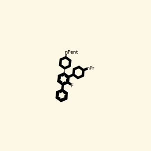 CCCCC[C@H]1CC[C@H](c2ccc(-c3ccccc3)c(F)c2C2CCC(CCC)CC2)CC1